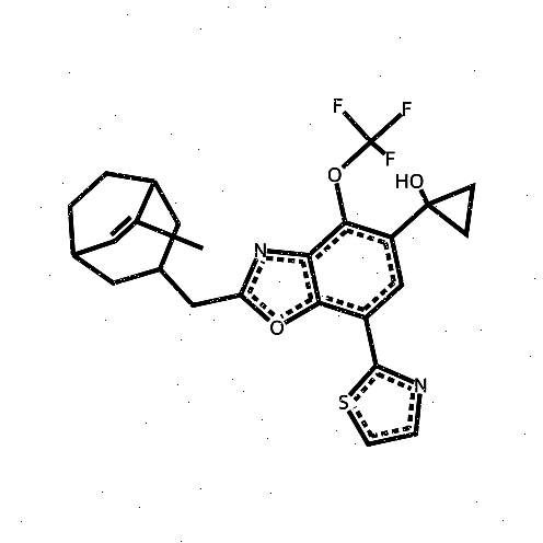 CC1=CC2CCC1CC(Cc1nc3c(OC(F)(F)F)c(C4(O)CC4)cc(-c4nccs4)c3o1)C2